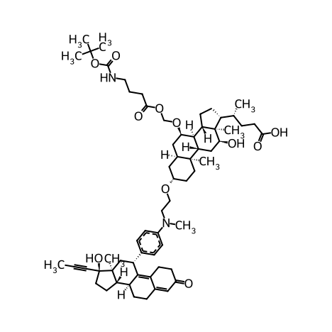 CC#C[C@@]1(O)CC[C@H]2[C@@H]3CCC4=CC(=O)CCC4=C3[C@@H](c3ccc(N(C)CCO[C@H]4CC[C@@]5(C)[C@@H](C4)C[C@@H](OCOC(=O)CCCNC(=O)OC(C)(C)C)[C@@H]4[C@@H]5C[C@H](O)[C@]5(C)[C@@H]([C@H](C)CCC(=O)O)CC[C@@H]45)cc3)C[C@@]21C